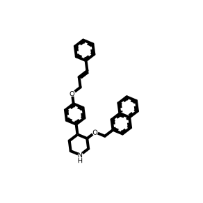 C(=Cc1ccccc1)COc1ccc(C2CCNCC2OCc2ccc3ccccc3c2)cc1